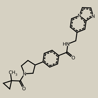 CC1(C(=O)N2CCC(c3ccc(C(=O)NCc4ccn5ccnc5c4)cc3)C2)CC1